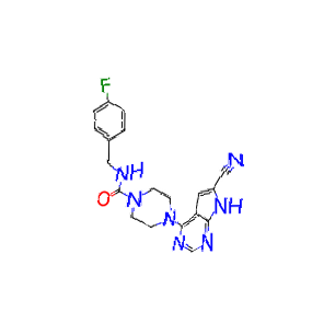 N#Cc1cc2c(N3CCN(C(=O)NCc4ccc(F)cc4)CC3)ncnc2[nH]1